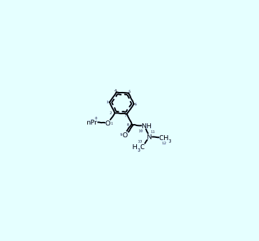 CCCOc1ccccc1C(=O)NN(C)C